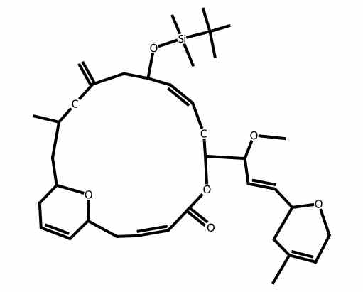 C=C1CC(C)CC2CC=CC(C/C=C\C(=O)OC(C(/C=C/C3CC(C)=CCO3)OC)C/C=C\C(O[Si](C)(C)C(C)(C)C)C1)O2